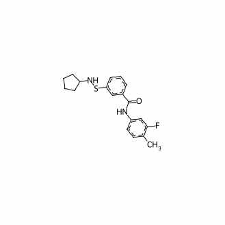 Cc1ccc(NC(=O)c2cccc(SNC3CCCC3)c2)cc1F